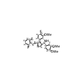 COc1cc(-n2c(C(N)c3ccc(OC)c(OC)c3)cnc2SCc2c(F)cccc2F)ccc1F